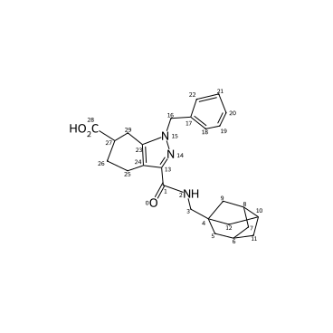 O=C(NCC12CC3CC(C1)C(C3)C2)c1nn(Cc2ccccc2)c2c1CCC(C(=O)O)C2